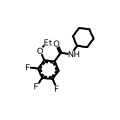 CCOc1c(C(=O)NC2CCCCC2)cc(F)c(F)c1F